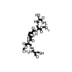 CCOC(=O)C(CSN[C@@H](CS)C(=O)S)NC(=O)c1ccc(C(=O)NC(CSSN[C@H](C=O)CS)C(=O)OCC)s1